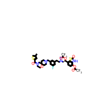 Cc1csc(C(=O)N2CCOC3(CCN(Cc4cc(F)cc(CCNC[C@H](OC(=O)C(F)(F)F)c5ccc(OC(=O)C(F)(F)F)c6[nH]c(=O)sc56)c4)CC3)C2)c1